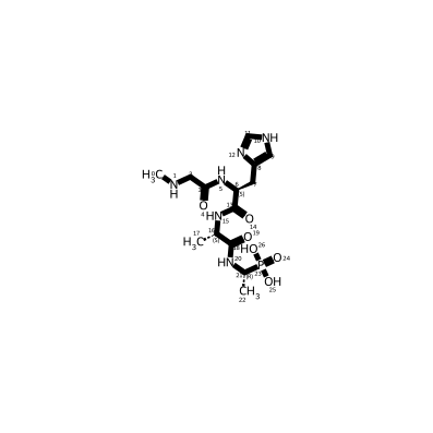 CNCC(=O)N[C@@H](Cc1c[nH]cn1)C(=O)N[C@@H](C)C(=O)N[C@@H](C)P(=O)(O)O